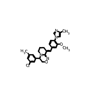 COc1cc(/C=C2\CCCN3C2=NOCC3c2cc(C)cc(Cl)c2)ccc1-n1cnc(C)c1